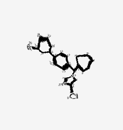 Clc1cn(C(c2ccccc2)c2ccc(C3CCCC(Br)C3)cc2)cn1